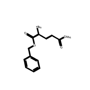 CCCCC(CCC(=O)OC)C(=O)OCc1ccccc1